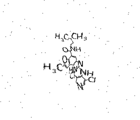 Cc1cc2c(o1)c(C(=O)NCCC(C)C)cc1nc(Nc3c(Cl)cncc3Cl)[nH]c12